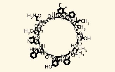 CCCC[C@H]1C(=O)N(C)CC(=O)N[C@@H](CC(=O)O)C(=O)N[C@@H](C(C)C)C(=O)N(C)[C@@H](Cc2ccccc2)C(=O)N[C@@H](Cc2ccc(O)cc2)C(=O)N(C)CC(=O)N[C@@H](Cc2c[nH]c3ccccc23)C(=O)N[C@@H](Cc2cccnc2)C(=O)N[C@@H](CC(C)C)C(=O)N[C@H](C(=O)NCC(N)=O)CSCC(=O)N[C@@H](Cc2cc(F)c(F)c(F)c2)C(=O)N(C)[C@@H](Cc2ccccc2)C(=O)N1C